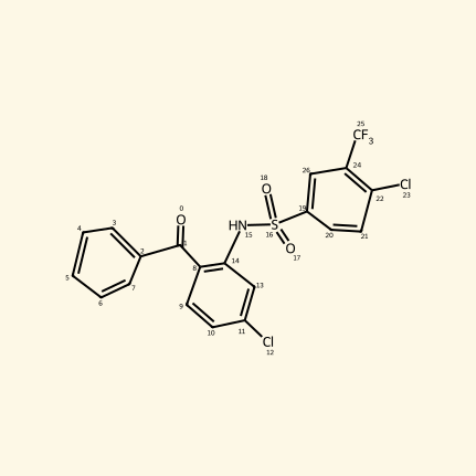 O=C(c1ccccc1)c1ccc(Cl)cc1NS(=O)(=O)c1ccc(Cl)c(C(F)(F)F)c1